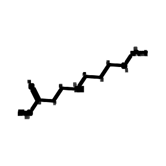 CCCCCOCCCNCCC(=O)OC